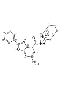 CN1C2CCCC1CC(NC(=O)c1cc(N)cc3oc(-c4ccccc4)nc13)C2